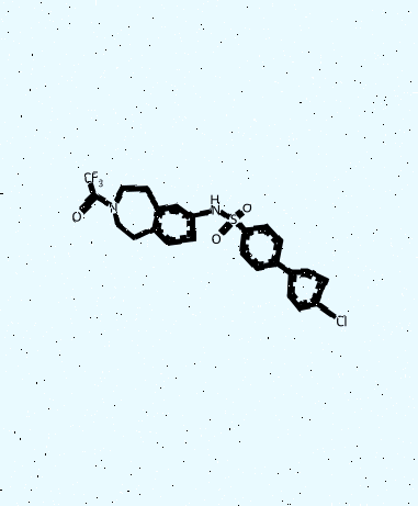 O=C(N1CCc2ccc(NS(=O)(=O)c3ccc(-c4ccc(Cl)cc4)cc3)cc2CC1)C(F)(F)F